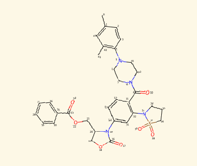 Cc1ccc(N2CCN(C(=O)c3ccc(N4C(=O)OCC4COC(=O)c4ccccc4)cc3N3CCCS3(=O)=O)CC2)c(C)c1